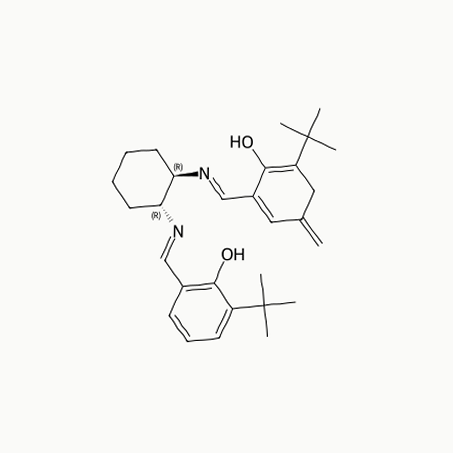 C=C1C=C(C=N[C@@H]2CCCC[C@H]2N=Cc2cccc(C(C)(C)C)c2O)C(O)=C(C(C)(C)C)C1